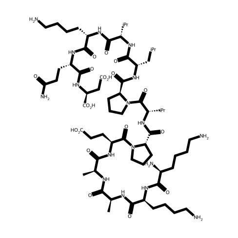 CC(C)C[C@H](NC(=O)[C@@H]1CCCN1C(=O)[C@@H](NC(=O)[C@@H]1CCCN1C(=O)[C@H](CCC(=O)O)NC(=O)[C@H](C)NC(=O)[C@H](C)NC(=O)[C@H](CCCCN)NC(=O)[C@@H](N)CCCCN)C(C)C)C(=O)N[C@H](C(=O)N[C@@H](CCCCN)C(=O)N[C@@H](CCC(N)=O)C(=O)N[C@@H](CC(=O)O)C(=O)O)C(C)C